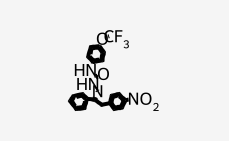 O=C(NN=C(Cc1ccc([N+](=O)[O-])cc1)c1ccccc1)Nc1ccc(OC(F)(F)F)cc1